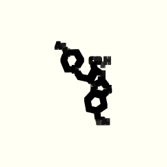 CC(=O)N1CCN(Cc2c(C(=O)O)nc3sc4c(n23)CCC(C(C)(C)C)C4)CC1